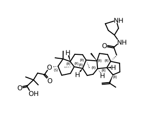 C=C(C)[C@@H]1CC[C@]2(CC(=O)NC3CCNC3)CC[C@]3(C)[C@H](CC[C@@H]4[C@@]5(C)CC[C@H](OC(=O)CC(C)(C)C(=O)O)C(C)(C)[C@@H]5CC[C@]43C)[C@@H]12